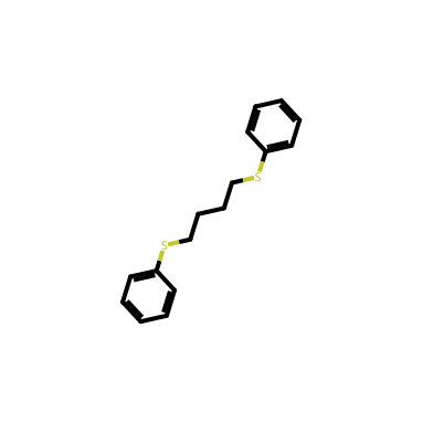 c1ccc(SCCCCSc2ccccc2)cc1